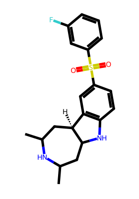 CC1CC2Nc3ccc(S(=O)(=O)c4cccc(F)c4)cc3[C@@H]2CC(C)N1